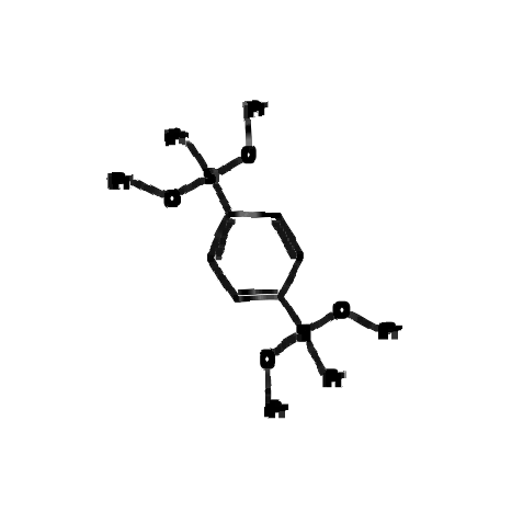 CC(C)O[Si](OC(C)C)(c1ccc([Si](OC(C)C)(OC(C)C)C(C)C)cc1)C(C)C